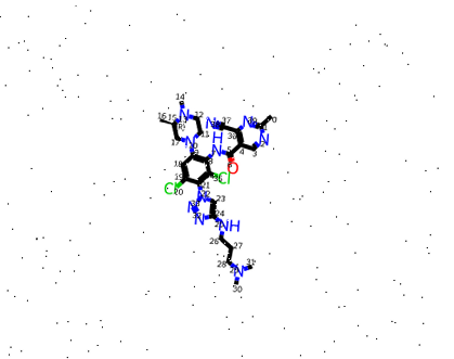 Cc1ncc(C(=O)Nc2c(N3CCN(C)[C@H](C)C3)cc(Cl)c(-n3cc(NCCCN(C)C)nn3)c2Cl)c(C#N)n1